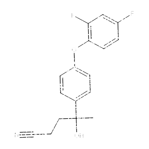 CC(O)(CCC#N)c1ccc(Oc2ccc(F)cc2F)cc1